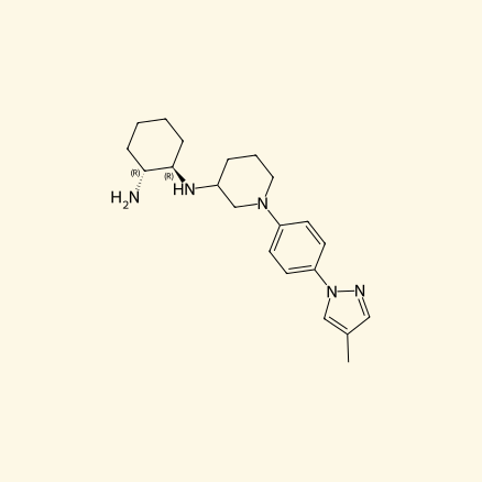 Cc1cnn(-c2ccc(N3CCCC(N[C@@H]4CCCC[C@H]4N)C3)cc2)c1